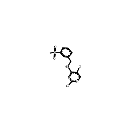 CS(=O)(=O)c1cccc(CNc2nc(Cl)ncc2Cl)c1